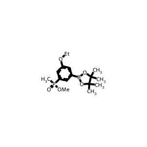 CCOc1cc(B2OC(C)(C)C(C)(C)O2)cc(P(C)(=O)OC)c1